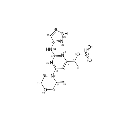 CC(O[SH](=O)=O)c1cc(N2CCOC[C@@H]2C)nc(Nc2cc[nH]n2)n1